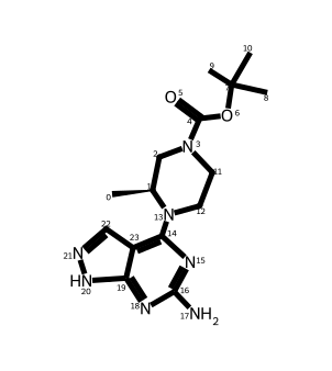 C[C@H]1CN(C(=O)OC(C)(C)C)CCN1c1nc(N)nc2[nH]ncc12